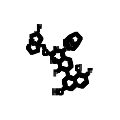 Oc1cc(-c2ccc3c(N4CC5CCC(C4)N5)nc(OC[C@@]45CCCN4C[C@H](F)C5)nc3c2F)c2c(Cl)c(F)ccc2c1